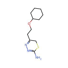 NC1=NN=C(CCOC2CCCCC2)CS1